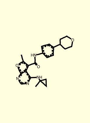 Cc1oc2ncnc(NC3(C)CC3)c2c1C(=O)Nc1ccc(C2CCOCC2)cc1